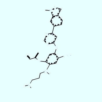 C=CC(=O)Nc1cc(Nc2cc(-c3ccc4cnn(C)c4c3)ncn2)c(OC)cc1N(C)CCCN(C)C